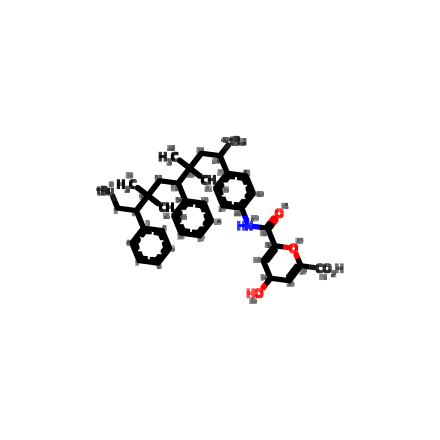 CC(C)(C)CC(c1ccccc1)C(C)(C)CC(c1ccccc1)C(C)(C)CC(c1ccc(NC(=O)C2=CC(O)C=C(C(=O)O)O2)cc1)C(C)(C)C